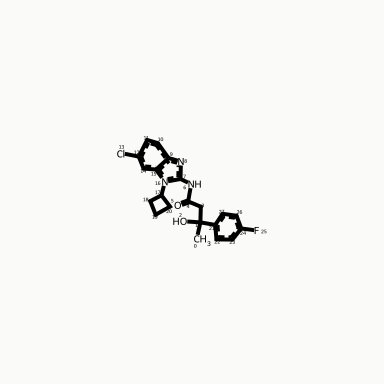 CC(O)(CC(=O)Nc1nc2ccc(Cl)cc2n1C1CCC1)c1ccc(F)cc1